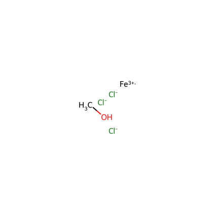 CO.[Cl-].[Cl-].[Cl-].[Fe+3]